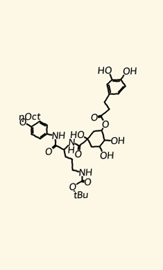 CCCCCCCCOc1ccc(NC(=O)C(CCCNC(=O)OC(C)(C)C)NC(=O)C2(O)CC(O)C(O)C(OC(=O)CCc3ccc(O)c(O)c3)C2)cc1